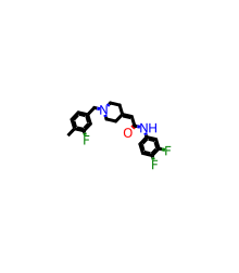 Cc1ccc(CN2CCC(=CC(=O)Nc3ccc(F)c(F)c3)CC2)cc1F